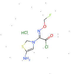 Cl.NC1=CN(C(=NOCF)C(=O)Cl)CS1